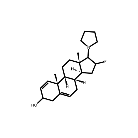 C[C@]12C=CC(O)CC1=CC[C@@H]1[C@H]2CC[C@]2(C)C(N3CCCC3)C(F)C[C@@H]12